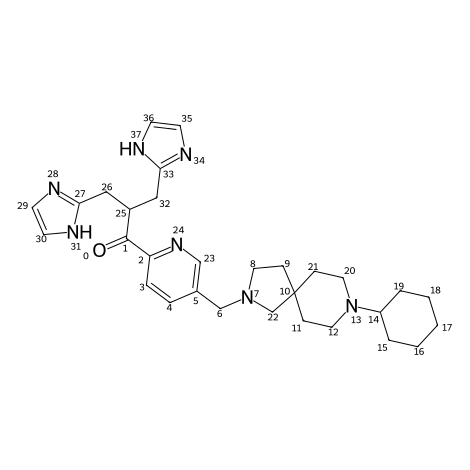 O=C(c1ccc(CN2CCC3(CCN(C4CCCCC4)CC3)C2)cn1)C(Cc1ncc[nH]1)Cc1ncc[nH]1